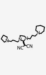 N#CC(C#N)=C1N(CCCN2CCCCCC2)CCN1CCCN1CCCC1